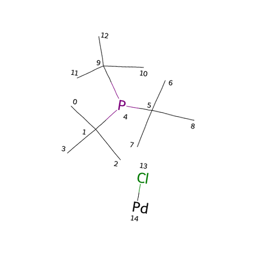 CC(C)(C)P(C(C)(C)C)C(C)(C)C.[Cl][Pd]